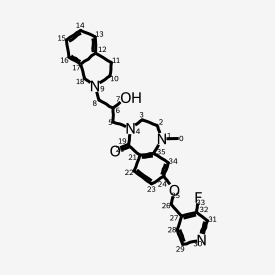 CN1CCN(CC(O)CN2CCc3ccccc3C2)C(=O)c2ccc(OCc3ccncc3F)cc21